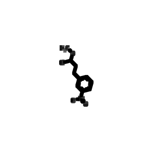 COC(Cl)CCc1cccc([N+](=O)[O-])c1